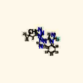 CC1(Cc2cnnn2N2C=NC3c4ccccc4-n4c(cnc4F)N32)CC1